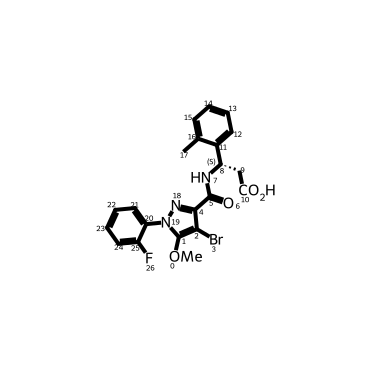 COc1c(Br)c(C(=O)N[C@@H](CC(=O)O)c2ccccc2C)nn1-c1ccccc1F